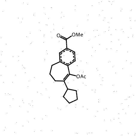 COC(=O)c1ccc2c(c1)CCCC(C1CCCC1)=C2OC(C)=O